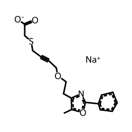 Cc1oc(-c2ccccc2)nc1CCOCC#CCSCC(=O)[O-].[Na+]